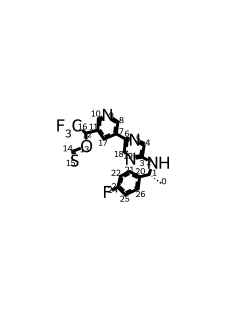 C[C@@H](Nc1cnc(-c2cncc(C(OC=S)C(F)(F)F)c2)cn1)c1ccc(F)cc1